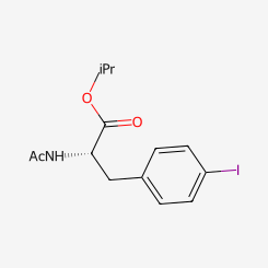 CC(=O)N[C@@H](Cc1ccc(I)cc1)C(=O)OC(C)C